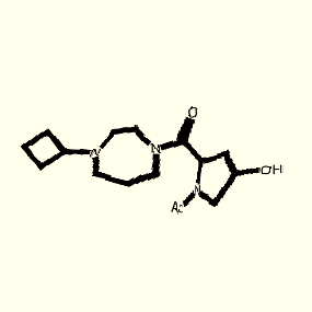 CC(=O)N1CC(O)CC1C(=O)N1CCCN(C2CCC2)CC1